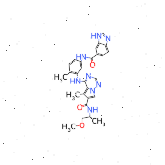 COC[C@H](C)NC(=O)c1cn2ncnc(Nc3cc(NC(=O)c4ccc5nc[nH]c5c4)ccc3C)c2c1C